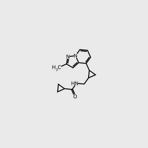 Cc1cc2c(C3CC3CNC(=O)C3CC3)cccn2n1